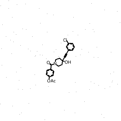 CC(=O)Oc1ccc(C(=O)N2CCC(O)(C#Cc3cccc(Cl)c3)CC2)cc1